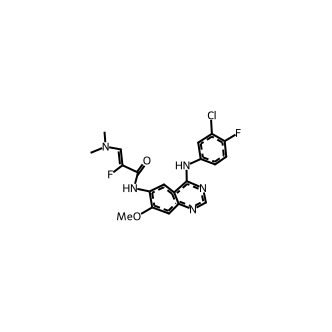 COc1cc2ncnc(Nc3ccc(F)c(Cl)c3)c2cc1NC(=O)C(F)=CN(C)C